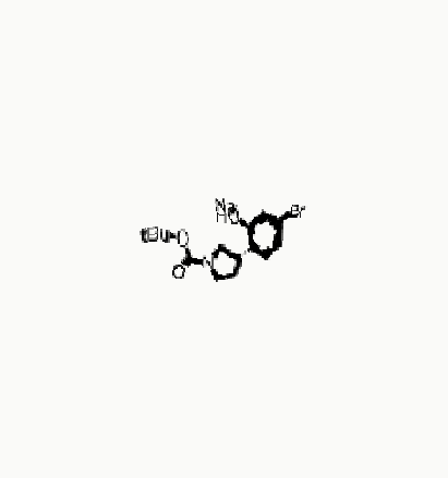 CC(C)(C)OC(=O)N1CC[C@@H](c2ccc(Br)cc2O)C1.[Na]